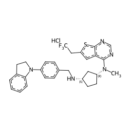 CN(c1ncnc2sc(CC(F)(F)F)cc12)[C@@H]1CC[C@H](NCc2ccc(N3CCc4ccccc43)cc2)C1.Cl